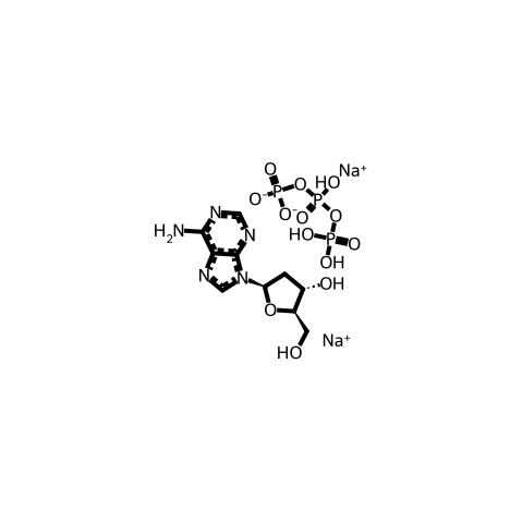 Nc1ncnc2c1ncn2[C@H]1C[C@H](O)[C@@H](CO)O1.O=P([O-])([O-])OP(=O)(O)OP(=O)(O)O.[Na+].[Na+]